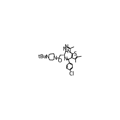 Cc1sc2c(c1C)C(c1ccc(Cl)cc1)=N[C@@H](CC(=O)N1CCN(C(C)(C)C)CC1)c1nnc(C)n1-2